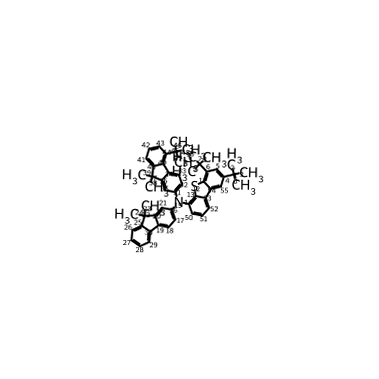 CC(C)(C)c1cc(C(C)(C)C)c2sc3c(N(c4ccc5c(c4)C(C)(C)c4ccccc4-5)c4ccc5c(c4)C(C)(C)c4cccc(C(C)(C)C)c4-5)cccc3c2c1